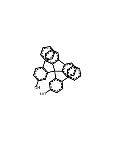 Oc1ccc(-c2ccccc2)c(C2(c3cc(O)ccc3-c3ccccc3)c3ccccc3-c3ccccc32)c1